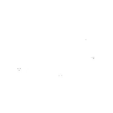 COC1CCC2(CC1)Cc1cc(F)c(Br)cc1C2=O